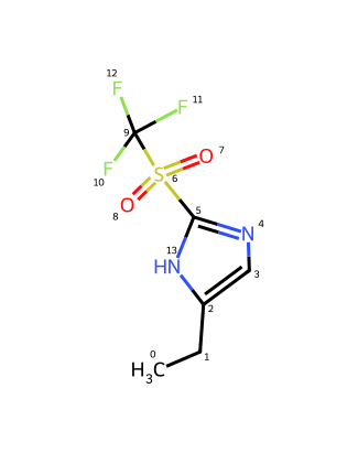 CCc1cnc(S(=O)(=O)C(F)(F)F)[nH]1